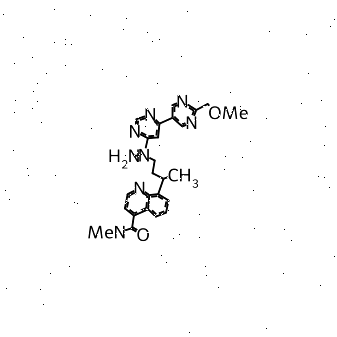 CNC(=O)c1ccnc2c(C(C)CCN(N)c3cc(-c4cnc(COC)nc4)ncn3)cccc12